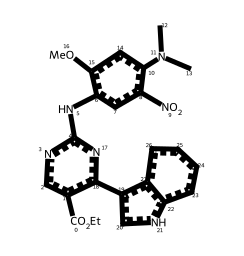 CCOC(=O)c1cnc(Nc2cc([N+](=O)[O-])c(N(C)C)cc2OC)nc1-c1c[nH]c2ccccc12